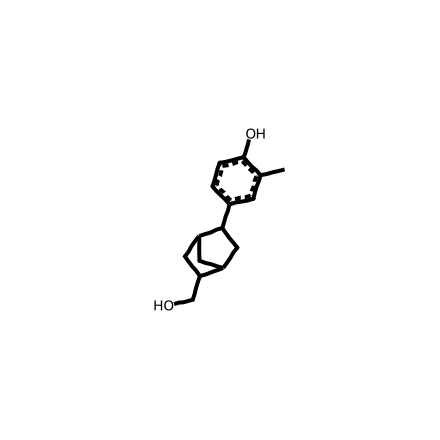 Cc1cc(C2CC3CC2CC3CO)ccc1O